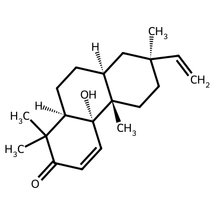 C=C[C@@]1(C)CC[C@@]2(C)[C@@H](CC[C@@H]3C(C)(C)C(=O)C=C[C@@]32O)C1